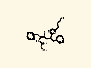 CC(C)(C)OC(=O)N[C@@H](Cc1ccccc1)[C@@H](O)CC(Cc1ccccc1)c1ncc(CCCO)s1